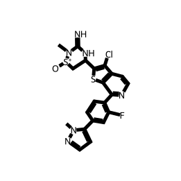 CN1C(=N)NC(c2sc3c(-c4ccc(-c5ccnn5C)cc4F)nccc3c2Cl)C[S+]1[O-]